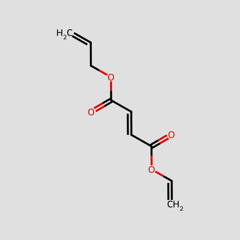 C=CCOC(=O)C=CC(=O)OC=C